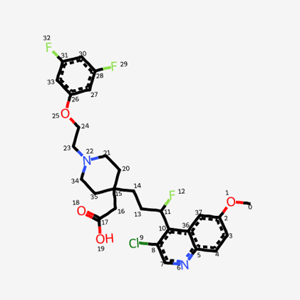 COc1ccc2ncc(Cl)c(C(F)CCC3(CC(=O)O)CCN(CCOc4cc(F)cc(F)c4)CC3)c2c1